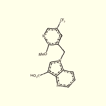 COc1ncc(C(F)(F)F)cc1Cn1cc(C(=O)O)c2ncccc21